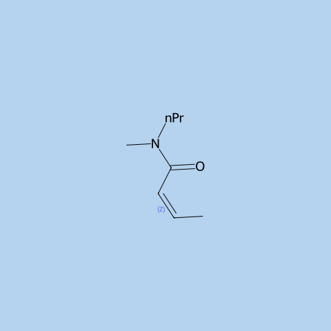 C/C=C\C(=O)N(C)CCC